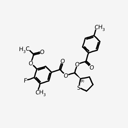 CC(=O)Oc1cc(C(=O)OC(OC(=O)c2ccc(C)cc2)[C@H]2CCCS2)cc(C)c1F